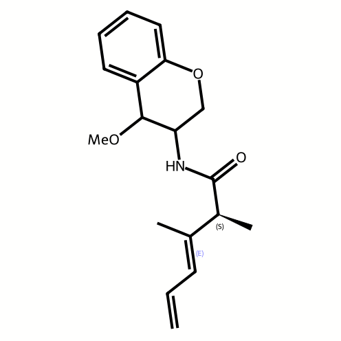 C=C/C=C(\C)[C@H](C)C(=O)NC1COc2ccccc2C1OC